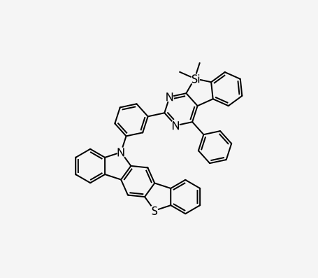 C[Si]1(C)c2ccccc2-c2c(-c3ccccc3)nc(-c3cccc(-n4c5ccccc5c5cc6sc7ccccc7c6cc54)c3)nc21